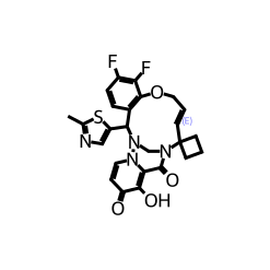 Cc1ncc(C2c3ccc(F)c(F)c3OC/C=C/C3(CCC3)N3CN2n2ccc(=O)c(O)c2C3=O)s1